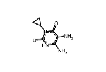 Nc1[nH]c(=O)n(C2CC2)c(=O)c1N